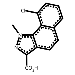 Cn1nc(C(=O)O)c2ccc3cccc(Cl)c3c21